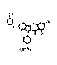 N#Cc1cc(F)c(Nc2nc3cnc(N[C@@H]4CC[C@@H](O)C4)nc3n2[C@H]2CC[C@@H](C(N)=O)CC2)c(Cl)c1